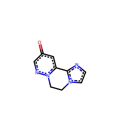 O=c1cnn2c(c1)-c1nccn1CC2